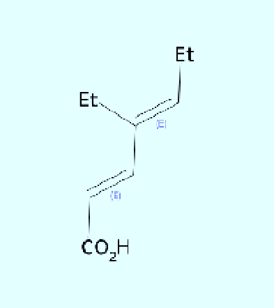 CC/C=C(/C=C/C(=O)O)CC